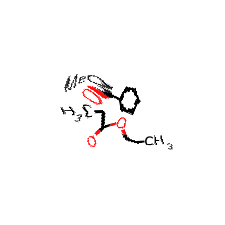 CCOC(=O)CC.COC(=O)c1ccccc1